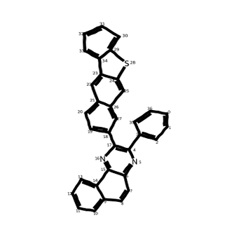 c1ccc(-c2nc3ccc4ccccc4c3nc2-c2ccc3cc4c(cc3c2)sc2ccccc24)cc1